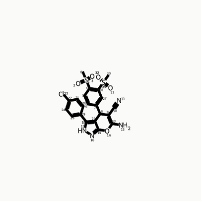 CS(=O)(=O)c1ccc(C2C(C#N)=C(N)Oc3n[nH]c(-c4ccc(Cl)cc4)c32)cc1S(C)(=O)=O